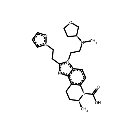 C[C@H]1CCc2c(ccc3c2nc(CCn2cccn2)n3CCN(C)[C@H]2CCOC2)N1C(=O)O